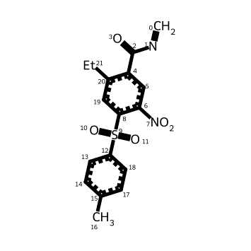 C=NC(=O)c1cc([N+](=O)[O-])c(S(=O)(=O)c2ccc(C)cc2)cc1CC